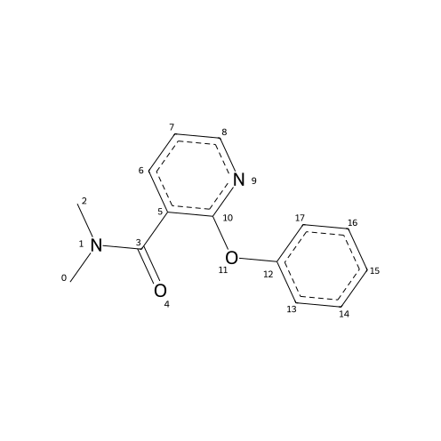 CN(C)C(=O)c1cccnc1Oc1ccccc1